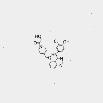 O=C(CO)N1CCC(COc2cccc3ncnc(Nc4ccc(O)c(Cl)c4)c23)CC1